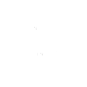 CCNC(=O)C(C)=CN(C)C